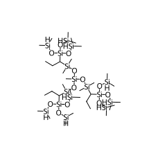 CCC([Si](C)(C)O[Si](C)(O[Si](C)(C)C(CC)[Si](O[SiH](C)C)(O[SiH](C)C)O[SiH](C)C)O[Si](C)(C)C(CC)[Si](O[SiH](C)C)(O[SiH](C)C)O[SiH](C)C)[Si](O[SiH](C)C)(O[SiH](C)C)O[SiH](C)C